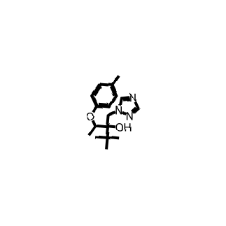 Cc1ccc(OC(C)C(O)(Cn2cncn2)C(C)(C)C)cc1